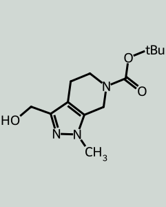 Cn1nc(CO)c2c1CN(C(=O)OC(C)(C)C)CC2